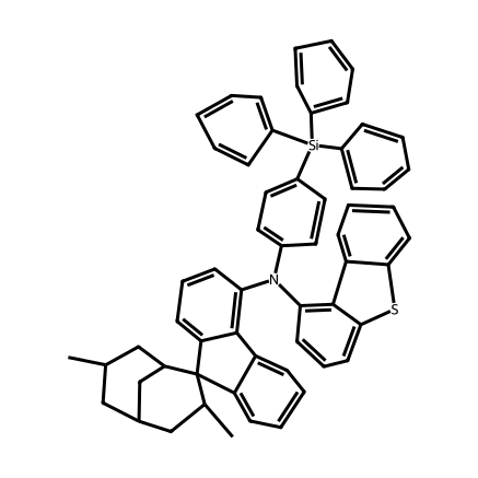 CC1CC2CC(C)C3(c4ccccc4-c4c(N(c5ccc([Si](c6ccccc6)(c6ccccc6)c6ccccc6)cc5)c5cccc6sc7ccccc7c56)cccc43)C(C1)C2